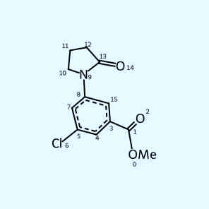 COC(=O)c1cc(Cl)cc(N2CCCC2=O)c1